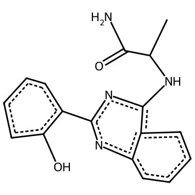 CC(Nc1nc(-c2ccccc2O)nc2ccccc12)C(N)=O